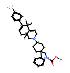 CC(C)(C)OC(=O)NCC1(c2ccccc2)CCC(N2CC=C3C(C)(CC=C(c4ccc(C(=O)O)cc4)C3(C)C)C2)CC1